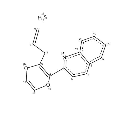 C=CCC1=C(c2ccc3ccccc3n2)OC=CO1.S